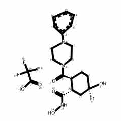 CC[C@@]1(O)CC[C@H](C(=O)N2CCN(c3ccccc3)CC2)[C@@H](C(=O)NO)C1.O=C(O)C(F)(F)F